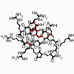 CC(=O)NCCN1C(=O)CC(SC[C@@H](NC(=O)[C@@H](CCCCC(=N)N)NC(=O)[C@@H](CCCNC(=N)N)NC(=O)[C@@H](CCCNC(=N)N)NC(=O)[C@@H](CCCNC(=N)N)NC(=O)[C@@H](CCCNC(=N)N)NC(=O)[C@@H](CCCNC(=N)N)NC(=O)[C@@H](CCCNC(=N)N)NC(=O)[C@@H](CCCNC(=N)N)NC(=O)CNC(=O)C(C)C)C(N)=O)C1=O